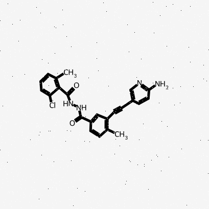 Cc1ccc(C(=O)NNC(=O)c2c(C)cccc2Cl)cc1C#Cc1ccc(N)nc1